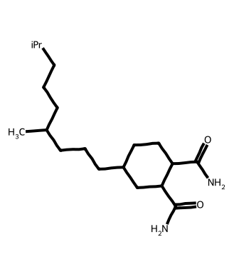 CC(C)CCCC(C)CCCC1CCC(C(N)=O)C(C(N)=O)C1